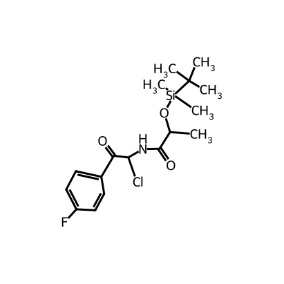 CC(O[Si](C)(C)C(C)(C)C)C(=O)NC(Cl)C(=O)c1ccc(F)cc1